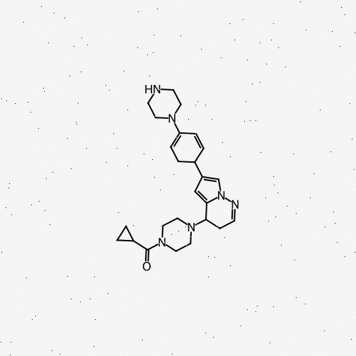 O=C(C1CC1)N1CCN(C2CC=Nn3cc(C4C=CC(N5CCNCC5)=CC4)cc32)CC1